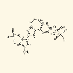 Cc1nc(-c2cn3c(n2)-c2cnc(OS(=O)(=O)C(F)(F)F)cc2OCC3)n(CC(F)(F)F)n1